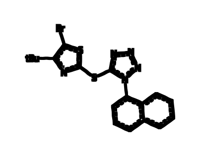 CC(C)(C)c1nc(Sc2nnnn2-c2cccc3ccccc23)sc1Br